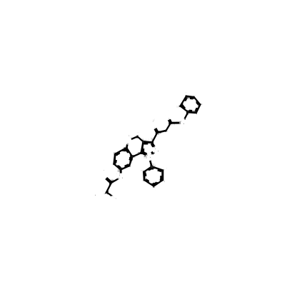 C[C@H](N)C(=O)Nc1ccc2c(c1)-c1c(c(C(=O)CC(=O)Nc3ccccc3)nn1-c1ccccc1)CS2